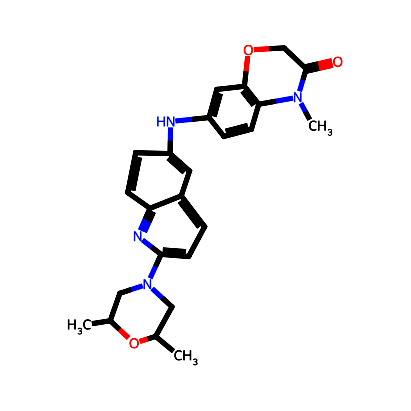 CC1CN(c2ccc3cc(Nc4ccc5c(c4)OCC(=O)N5C)ccc3n2)CC(C)O1